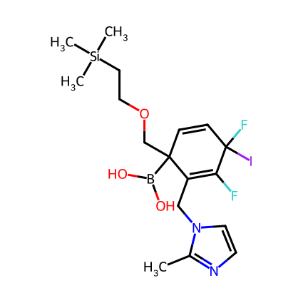 Cc1nccn1CC1=C(F)C(F)(I)C=CC1(COCC[Si](C)(C)C)B(O)O